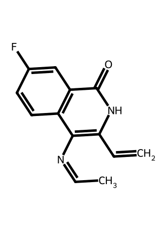 C=Cc1[nH]c(=O)c2cc(F)ccc2c1/N=C\C